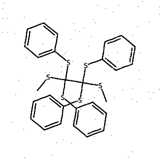 CSC(Sc1ccccc1)(Sc1ccccc1)C(SC)(Sc1ccccc1)Sc1ccccc1